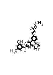 CCOC(=O)C=Cc1cccc(-c2cnc(Nc3cc(C)cc(C)c3)nc2N2CCOCC2)c1